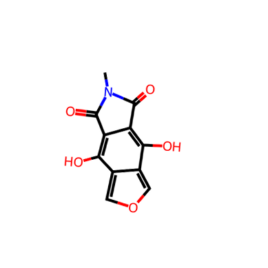 CN1C(=O)c2c(c(O)c3cocc3c2O)C1=O